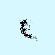 C=CC(=O)OCC1CC2C3CC(CC3COC(=O)c3cc(O)cc(C(=O)OCC4CC(C5CCCC5COC(=O)C(=C)C)[C@@H](C)C4)c3)[C@H]2C1